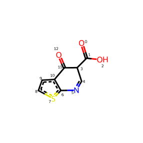 O=C(O)C1C=Nc2sccc2C1=O